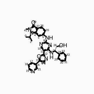 CC(C)n1c2cc(Nc3ncc(-c4nnc(-c5cccnc5)o4)c(N[C@H](CO)c4ccccc4)n3)ccc2c(=O)n1C